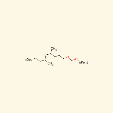 CCCCCCCCCCCCC(C)CC(C)CCCOCOCCCCC